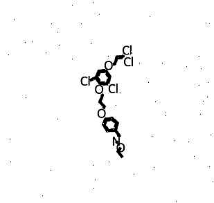 CCON=Cc1ccc(OCCCOc2c(Cl)cc(OCC=C(Cl)Cl)cc2Cl)cc1